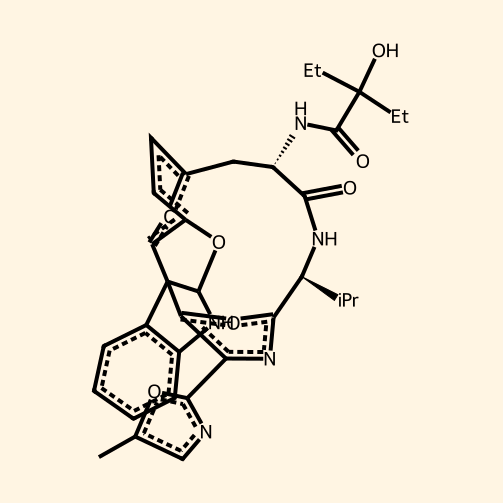 CCC(O)(CC)C(=O)N[C@H]1Cc2ccc3c(c2)C2(c4ccccc4NC2O3)c2oc(nc2-c2ncc(C)o2)[C@H](C(C)C)NC1=O